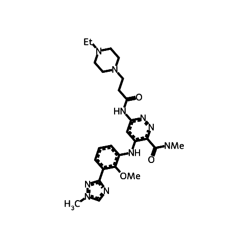 CCN1CCN(CCC(=O)Nc2cc(Nc3cccc(-c4ncn(C)n4)c3OC)c(C(=O)NC)nn2)CC1